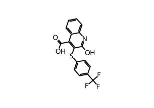 O=C(O)c1c(Sc2ccc(C(F)(F)F)cc2)c(O)nc2ccccc12